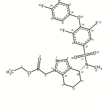 CCOC(=O)Cn1ncc2c1CCC[C@H]2N(C)S(=O)(=O)c1cc(F)c(Oc2ccc(F)cc2)c(F)c1